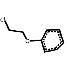 ClCCOc1[c]cccc1